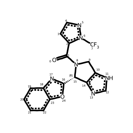 O=C(c1ccnn1C(F)(F)F)N1Cc2[nH]cnc2[C@@H]1c1nc2ccccc2o1